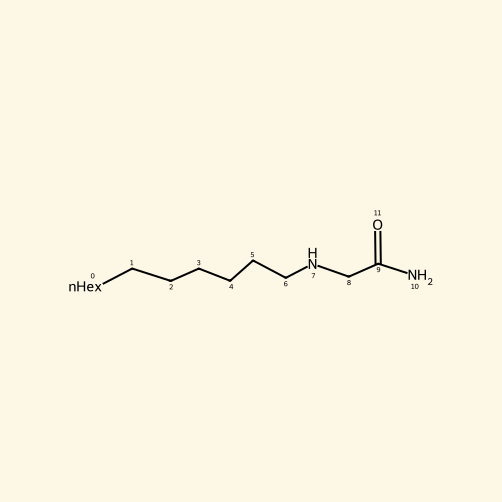 CCCCCCCCCCCCNCC(N)=O